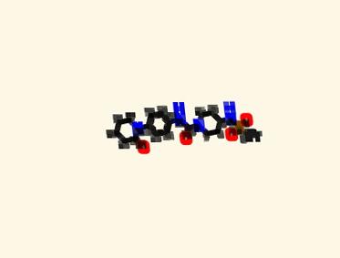 CC(C)S(=O)(=O)NC1CCN(C(=O)Nc2ccc(N3CCCCC3=O)cc2)CC1